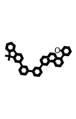 CC1(C)c2ccccc2-c2ccc(-c3cccc(-c4cccc(-c5ccc6cc7c8c(cccc8c6c5)-c5ccccc5O7)c4)c3)cc21